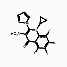 O=C(O)c1c([SH]2C=CC=C2)n(C2CC2)c2c(F)c(F)c(F)c(F)c2c1=O